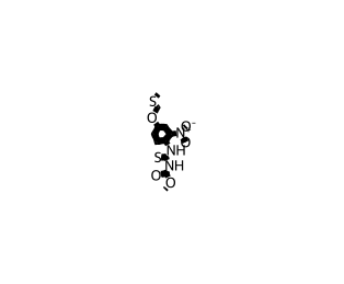 COC(=O)NC(=S)Nc1ccc(OCSC)cc1[N+](=O)[O-]